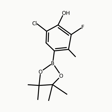 Cc1c(B2OC(C)(C)C(C)(C)O2)cc(Cl)c(O)c1F